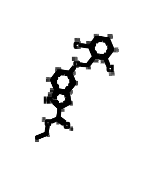 CCOC(=O)c1cc2cc(OCc3c(Cl)cccc3Cl)ccc2[nH]1